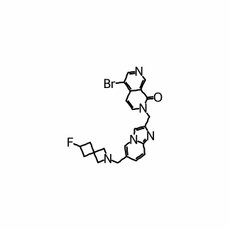 O=c1c2cncc(Br)c2ccn1Cc1cn2cc(CN3CC4(CC(F)C4)C3)ccc2n1